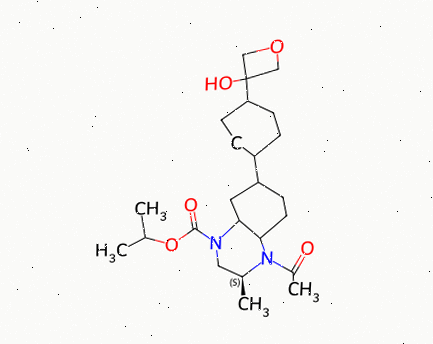 CC(=O)N1C2CCC(C3CCC(C4(O)COC4)CC3)CC2N(C(=O)OC(C)C)C[C@@H]1C